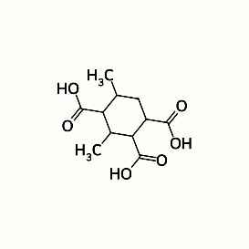 CC1CC(C(=O)O)C(C(=O)O)C(C)C1C(=O)O